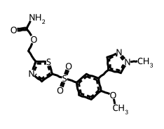 COc1ccc(S(=O)(=O)c2cnc(COC(N)=O)s2)cc1-c1cnn(C)c1